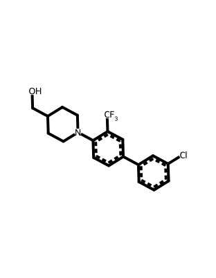 OCC1CCN(c2ccc(-c3cccc(Cl)c3)cc2C(F)(F)F)CC1